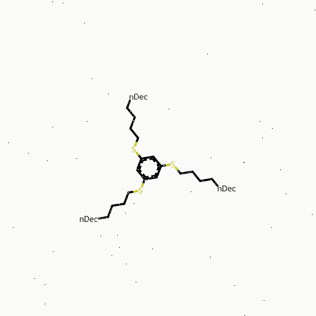 CCCCCCCCCCCCCCSc1cc(SCCCCCCCCCCCCCC)cc(SCCCCCCCCCCCCCC)c1